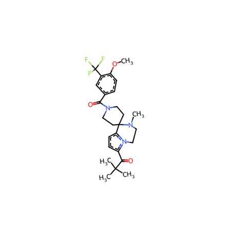 COc1ccc(C(=O)N2CCC3(CC2)c2ccc(C(=O)C(C)(C)C)n2CCN3C)cc1C(F)(F)F